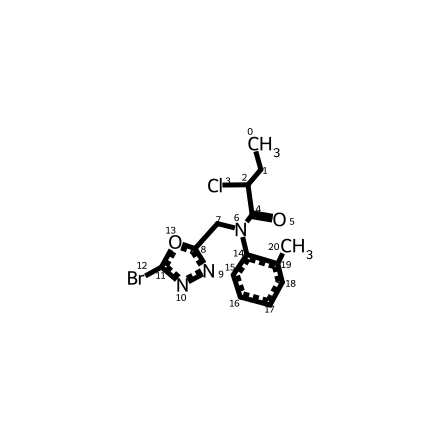 CCC(Cl)C(=O)N(Cc1nnc(Br)o1)c1ccccc1C